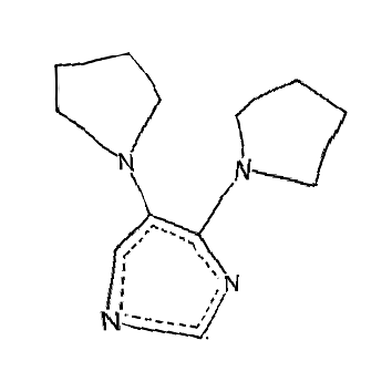 [c]1ncc(N2CCCC2)c(N2CCCC2)n1